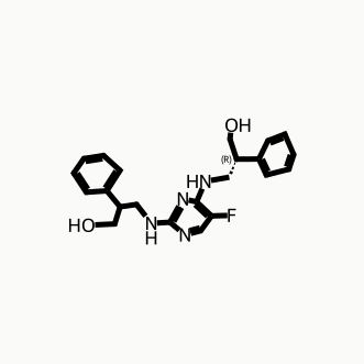 OCC(CNc1ncc(F)c(NC[C@H](CO)c2ccccc2)n1)c1ccccc1